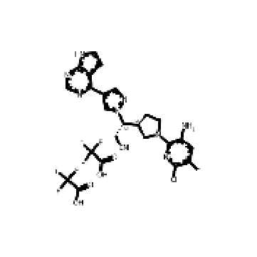 N#CC[C@@H]([C@H]1CCN(c2nc(Cl)c(F)cc2N)C1)n1cc(-c2ncnc3[nH]ccc23)cn1.O=C(O)C(F)(F)F.O=C(O)C(F)(F)F